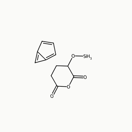 O=C1CCC(O[SiH3])C(=O)O1.c1cc2cc-2c1